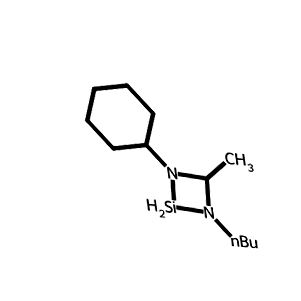 CCCCN1[SiH2]N(C2CCCCC2)C1C